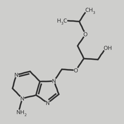 CC(C)OCC(CO)OCn1cnc2c1C=NCN2N